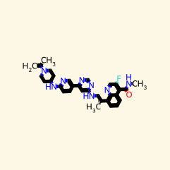 C=C(C)N1CCC(Nc2ccc(-c3cc(NC[C@@H](C)c4cccc5c(C(=O)NC)c(F)cnc45)ncn3)cn2)CC1